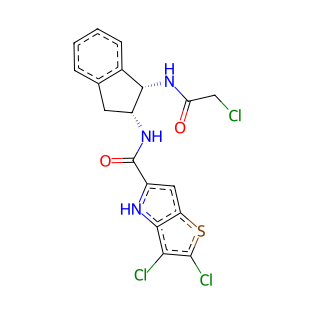 O=C(CCl)N[C@H]1c2ccccc2C[C@H]1NC(=O)c1cc2sc(Cl)c(Cl)c2[nH]1